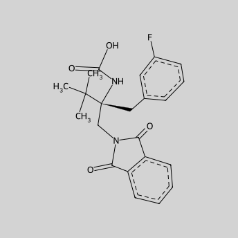 CC(C)(C)[C@@](Cc1cccc(F)c1)(CN1C(=O)c2ccccc2C1=O)NC(=O)O